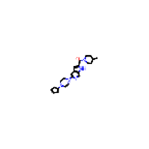 CC1CCN(C(=O)c2cc3cc(N4CCN(C5CCCC5)CC4)ncc3[nH]2)CC1